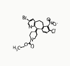 CCOC(=O)N1CCC(=C2c3ccc(Cl)c([N+](=O)[O-])c3CCc3cc(Br)cnc32)CC1